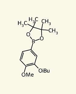 COc1ccc(B2OC(C)(C)C(C)(C)O2)cc1OCC(C)C